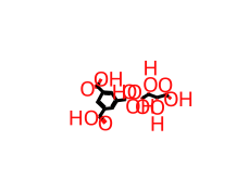 O=C(O)C(O)C(O)C(=O)O.O=C(O)c1cc(C(=O)O)cc(C(=O)O)c1